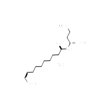 CCCCCCCC/C=C\CCCCCCCC(=O)N[C@@H](CCSC)C(=O)O.[NaH]